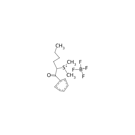 CCCCC(C(=O)c1ccccc1)[S+](C)C.F[B-](F)(F)F